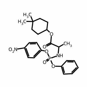 CC(NP(=O)(Oc1ccccc1)Oc1ccc([N+](=O)[O-])cc1)C(=O)OC1CCC(C)(C)CC1